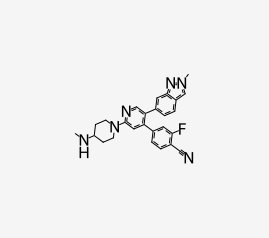 CNC1CCN(c2cc(-c3ccc(C#N)c(F)c3)c(-c3ccc4cn(C)nc4c3)cn2)CC1